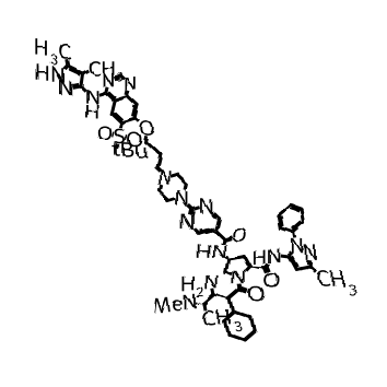 CN[C@@H](C)C(N)[C@@H](C(=O)N1C[C@@H](NC(=O)c2cnc(N3CCN(CCCOc4cc5ncnc(Nc6n[nH]c(C)c6C)c5cc4S(=O)(=O)C(C)(C)C)CC3)nc2)C[C@H]1C(=O)Nc1cc(C)nn1-c1ccccc1)C1CCCCC1